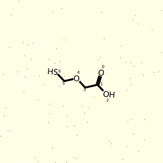 O=C(O)COCS